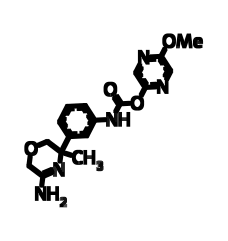 COc1cnc(OC(=O)Nc2cccc(C3(C)COCC(N)=N3)c2)cn1